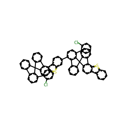 Clc1ccccc1-c1cccc2c1C1(c3ccccc3-2)c2ccccc2-c2c1ccc1sc3cc(-c4ccc(-c5ccccc5Cl)c5c4-c4ccccc4C54c5ccccc5-c5c4ccc4c5sc5ccccc54)ccc3c21